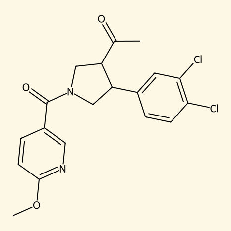 COc1ccc(C(=O)N2CC(C(C)=O)C(c3ccc(Cl)c(Cl)c3)C2)cn1